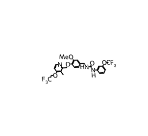 COc1cc(CNC(=O)Nc2cccc(OC(F)(F)F)c2)ccc1OCc1nccc(OCC(F)(F)F)c1C